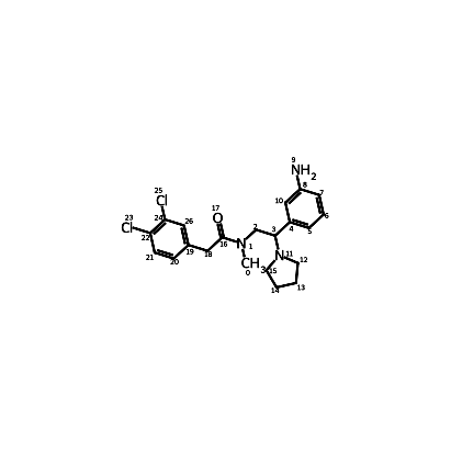 CN(CC(c1cccc(N)c1)N1CCCC1)C(=O)Cc1ccc(Cl)c(Cl)c1